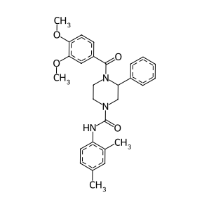 COc1ccc(C(=O)N2CCN(C(=O)Nc3ccc(C)cc3C)CC2c2ccccc2)cc1OC